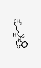 CCCCCNC(=S)N1C=COc2ccccc21